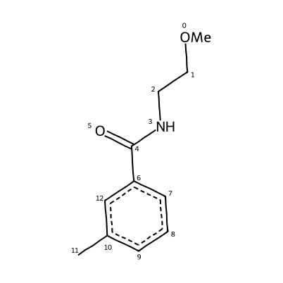 COCCNC(=O)c1cccc(C)c1